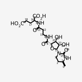 C=C1CCN([C@@H]2O[C@H](C(=O)NCCC(=O)NC(CCC(=O)O)C(=O)O)[C@@H](O)[C@H]2O)C(=O)N1